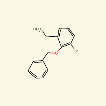 O=C(O)Cc1cccc(Br)c1OCc1ccccc1